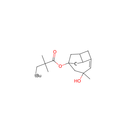 CC(C)(C)CC(C)(C)C(=O)OC12CC3CC(=CC(C)(O)C1)C3C2